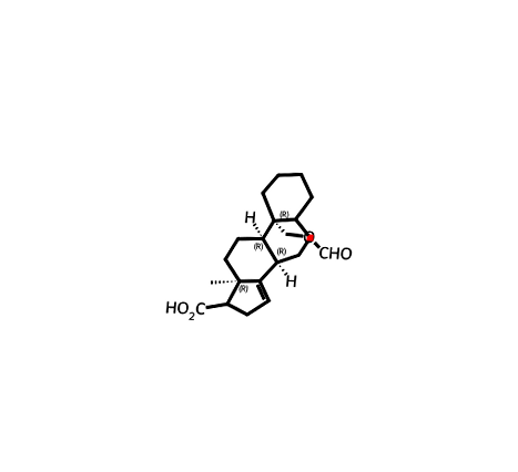 C[C@]12CC[C@@H]3[C@@H](CCC4CCCC[C@@]43COC=O)C1=CCC2C(=O)O